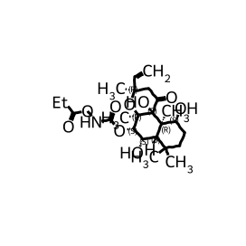 C=C[C@@]1(C)CC(=O)[C@]2(O)[C@@]3(C)[C@@H](O)CCC(C)(C)[C@@H]3[C@H](O)[C@H](OC(=O)NOC(=O)CC)[C@@]2(C)O1